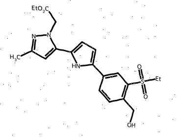 CCOC(=O)Cn1nc(C)cc1-c1ccc(-c2ccc(CO)c(S(=O)(=O)CC)c2)[nH]1